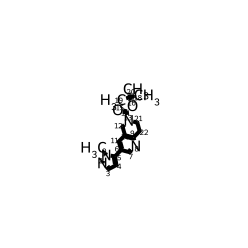 Cn1nccc1-c1cnc2c(c1)CN(C(=O)OC(C)(C)C)CC2